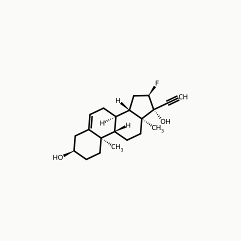 C#C[C@]1(O)[C@H](F)C[C@H]2[C@@H]3CC=C4C[C@H](O)CC[C@]4(C)[C@H]3CC[C@@]21C